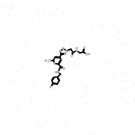 Cc1cc(-c2nnn(CC(=O)NCC(=O)O)n2)cc(C(=O)NCc2ccc(F)cc2)n1